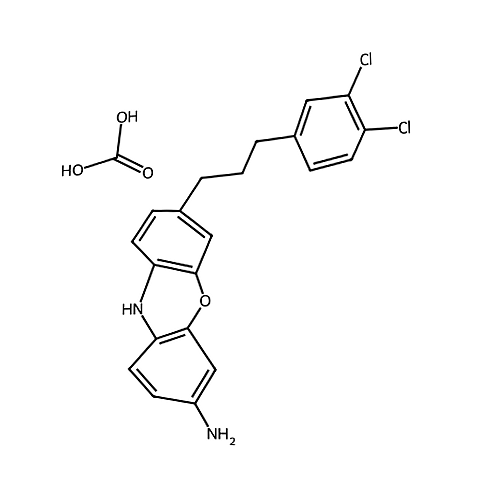 Nc1ccc2c(c1)Oc1cc(CCCc3ccc(Cl)c(Cl)c3)ccc1N2.O=C(O)O